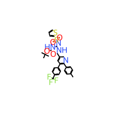 Cc1ccc(-c2ncc(CN/C(=N/S(=O)(=O)c3cccs3)NC(=O)OC(C)(C)C)cc2-c2ccc(C(F)(F)F)cc2)cc1